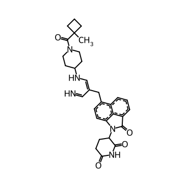 CC1(C(=O)N2CCC(N/C=C(\C=N)Cc3ccc4c5c(cccc35)C(=O)N4C3CCC(=O)NC3=O)CC2)CCC1